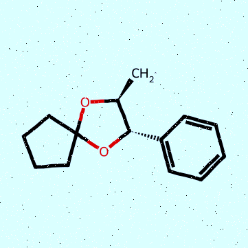 [CH2][C@@H]1OC2(CCCC2)O[C@H]1c1ccccc1